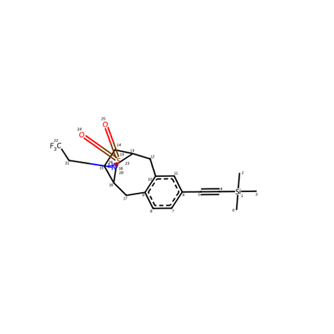 C[Si](C)(C)C#Cc1ccc2c(c1)CC1CCC(C2)C12CN(CC(F)(F)F)S(=O)(=O)N2